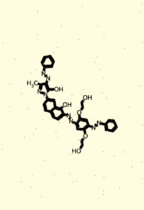 Cc1nn(-c2ccc3ccc(/N=N/c4cc(OCCO)c(/N=N/c5ccccc5)cc4OCCO)c(O)c3c2)c(O)c1/N=N/c1ccccc1